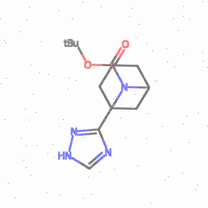 CC(C)(C)OC(=O)N1C2CCCC1(c1nc[nH]n1)C2